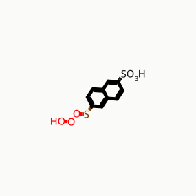 O=S(=O)(O)c1ccc2cc(SOOO)ccc2c1